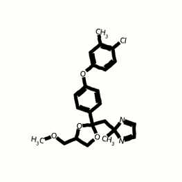 COCC1COC(CC2(C)N=CC=N2)(c2ccc(Oc3ccc(Cl)c(C)c3)cc2)O1